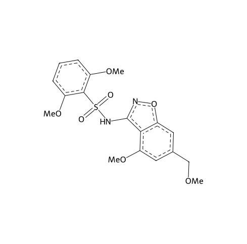 COCc1cc(OC)c2c(NS(=O)(=O)c3c(OC)cccc3OC)noc2c1